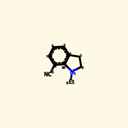 CCN1CCc2cccc(C#N)c21